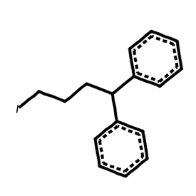 ICCCC(c1ccccc1)c1ccccc1